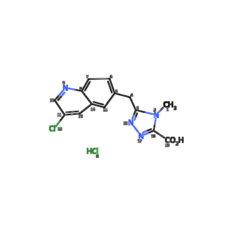 Cl.Cn1c(Cc2ccc3ncc(Cl)cc3c2)nnc1C(=O)O